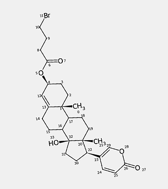 C[C@]12CC[C@H](OC(=O)CCCBr)C=C1CCC1C2CC[C@]2(C)[C@@H](c3ccc(=O)oc3)CC[C@]12O